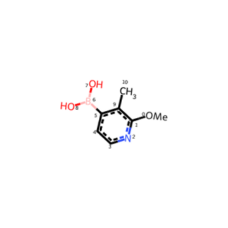 COc1nccc(B(O)O)c1C